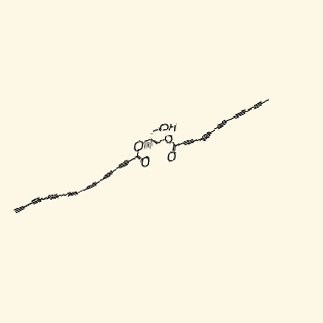 C#CC#CC#CC#CC#CC#CC#CC(=O)O[C@H](CO)COC(=O)C#CC#CC#CC#CC#CC